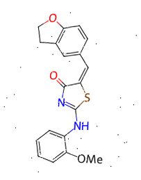 COc1ccccc1NC1=NC(=O)C(=Cc2ccc3c(c2)CCO3)S1